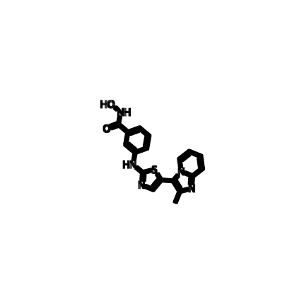 Cc1nc2ccccn2c1-c1cnc(Nc2cccc(C(=O)NO)c2)s1